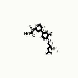 CC(C)C[C@](C)(N)COc1ccc(-c2ccnc(N(C)C(=O)O)c2)cc1F